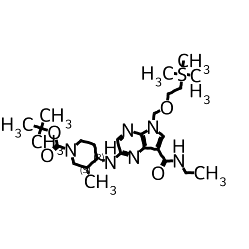 CCNC(=O)c1cn(COCCS(C)(C)C)c2ncc(N[C@@H]3CCN(C(=O)OC(C)(C)C)C[C@@H]3C)nc12